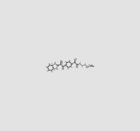 CC(C)(C)OCCCNC(=O)c1ccc(NC(=O)N2Cc3ccccc3C2)cc1